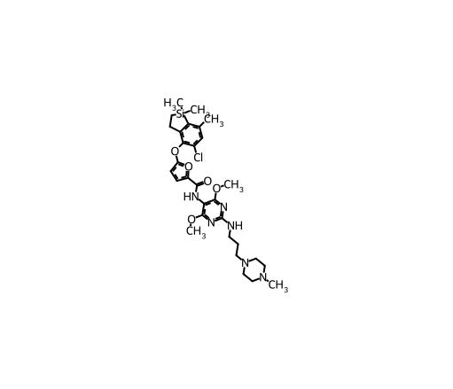 COc1nc(NCCCN2CCN(C)CC2)nc(OC)c1NC(=O)c1ccc(Oc2c(Cl)cc(C)c3c2CC[Si]3(C)C)o1